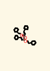 C(=Cc1ccccc1)OB(C=Cc1ccccc1)OB(C=Cc1ccccc1)OC=Cc1ccccc1